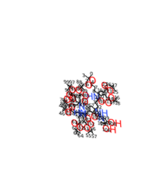 CC(C)(C)OC(=O)CCC(CCC(=O)OC(C)(C)C)(CCC(=O)OC(C)(C)C)NC(=O)CCC(CCC(=O)NC(CCC(=O)OC(C)(C)C)(CCC(=O)OC(C)(C)C)CCC(=O)OC(C)(C)C)(CCC(=O)NC(CCC(=O)OC(C)(C)C)(CCC(=O)OC(C)(C)C)CCC(=O)OC(C)(C)C)NC(=O)N1C[C@H](O)[C@@H](O)C1